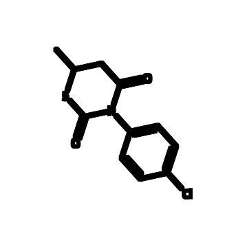 CC1CC(=O)N(c2ccc(Cl)cc2)C(=O)S1